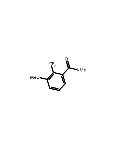 CNC(=O)c1cccc(OC)c1C(F)(F)F